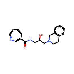 O=C(NCC(O)CN1CCc2ccccc2C1)C1=CN=C=CC=C1